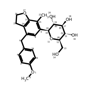 COc1ccc(Cc2cc([C@@H]3O[C@H](CO)[C@@H](O)[C@H](O)[C@H]3O)c(C)c3c2CCO3)cc1